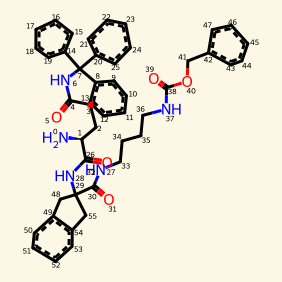 N[C@@H](CCC(=O)NC(c1ccccc1)(c1ccccc1)c1ccccc1)C(=O)NC1(C(=O)NCCCCNC(=O)OCc2ccccc2)Cc2ccccc2C1